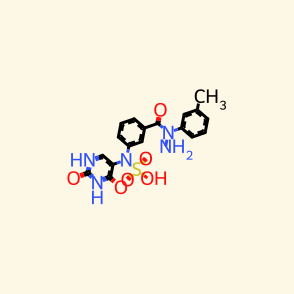 Cc1cccc(N(N)C(=O)c2cccc(N(c3c[nH]c(=O)[nH]c3=O)S(=O)(=O)O)c2)c1